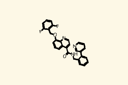 O=C(NCc1ccccc1-c1cccnc1)c1ccnc2c(OCc3c(F)cccc3F)cccc12